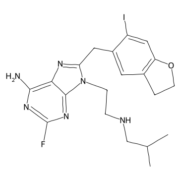 CC(C)CNCCn1c(Cc2cc3c(cc2I)OCC3)nc2c(N)nc(F)nc21